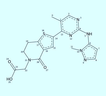 Cc1cnc(Nc2ccnn2C)nc1-c1cc2c(s1)CCN(CC(=O)O)C2=O